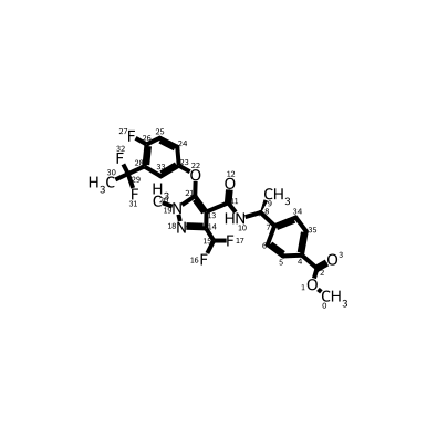 COC(=O)c1ccc([C@H](C)NC(=O)c2c(C(F)F)nn(C)c2Oc2ccc(F)c(C(C)(F)F)c2)cc1